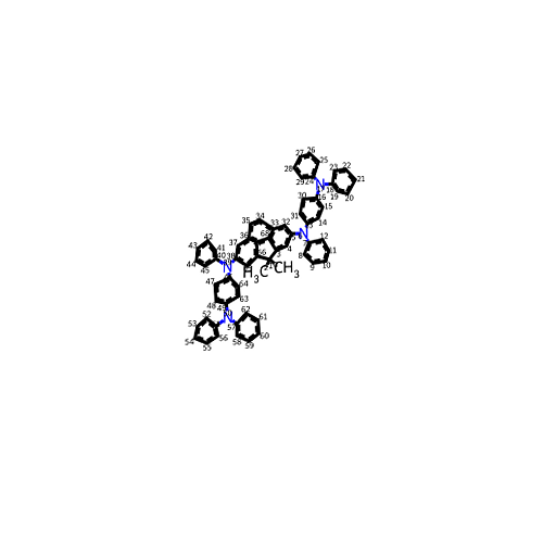 CC1(C)c2cc(N(c3ccccc3)c3ccc(N(c4ccccc4)c4ccccc4)cc3)cc3ccc4cc(N(c5ccccc5)c5ccc(N(c6ccccc6)c6ccccc6)cc5)cc1c4c23